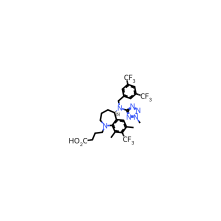 Cc1cc2c(c(C)c1C(F)(F)F)N(CCCC(=O)O)CCC[C@@H]2N(Cc1cc(C(F)(F)F)cc(C(F)(F)F)c1)c1nnn(C)n1